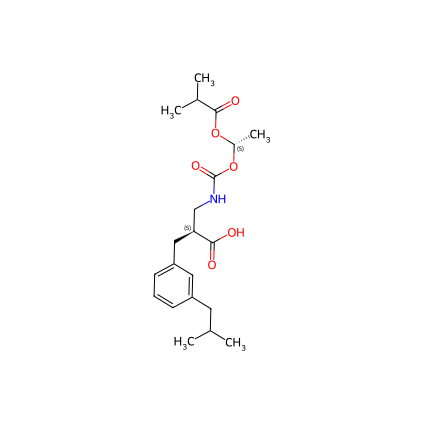 CC(C)Cc1cccc(C[C@@H](CNC(=O)O[C@@H](C)OC(=O)C(C)C)C(=O)O)c1